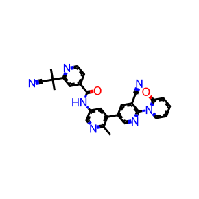 Cc1ncc(NC(=O)c2ccnc(C(C)(C)C#N)c2)cc1-c1cnc(-n2ccccc2=O)c(C#N)c1